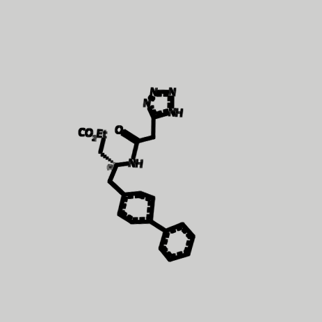 CCOC(=O)C[C@@H](Cc1ccc(-c2ccccc2)cc1)NC(=O)Cc1nnn[nH]1